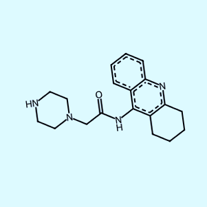 O=C(CN1CCNCC1)Nc1c2c(nc3ccccc13)CCCC2